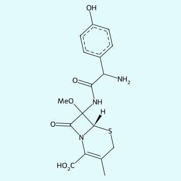 COC1(NC(=O)C(N)c2ccc(O)cc2)C(=O)N2C(C(=O)O)=C(C)CS[C@H]21